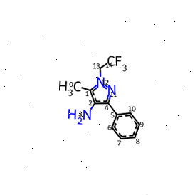 Cc1c(N)c(-c2ccccc2)nn1CC(F)(F)F